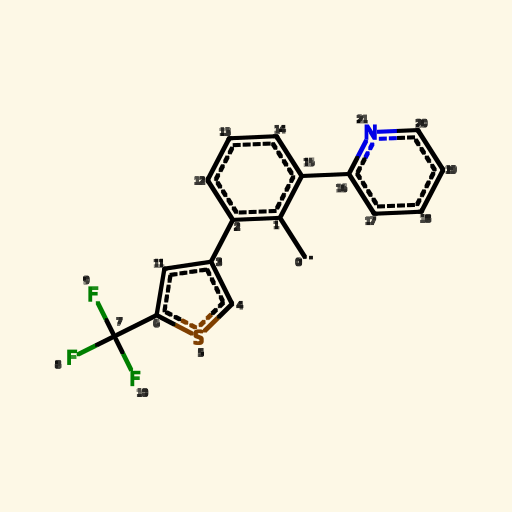 [CH2]c1c(-c2csc(C(F)(F)F)c2)cccc1-c1ccccn1